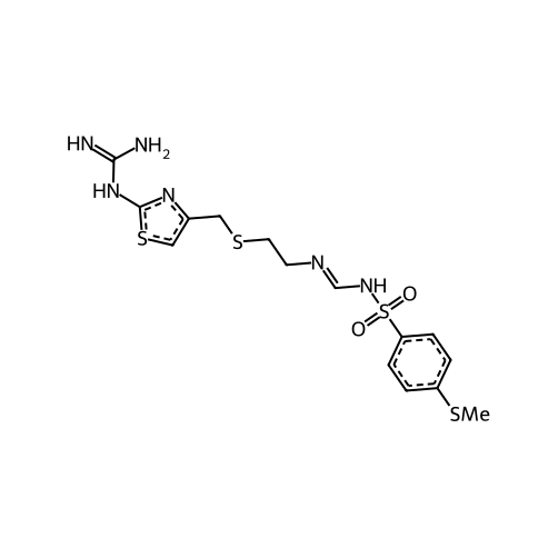 CSc1ccc(S(=O)(=O)NC=NCCSCc2csc(NC(=N)N)n2)cc1